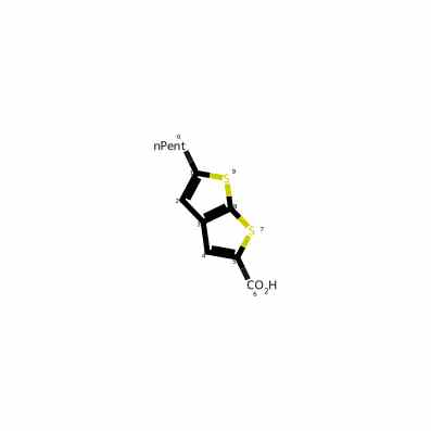 CCCCCc1cc2cc(C(=O)O)sc2s1